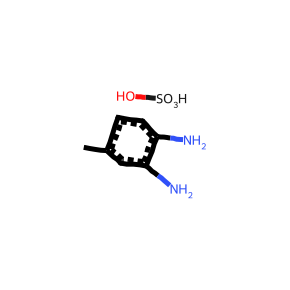 Cc1ccc(N)c(N)c1.O=S(=O)(O)O